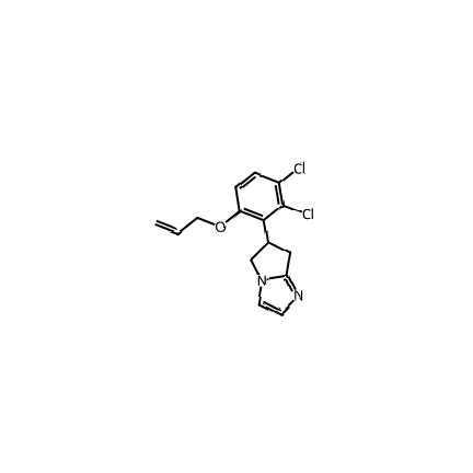 C=CCOc1ccc(Cl)c(Cl)c1C1Cc2nccn2C1